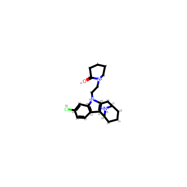 O=C1CCCCN1CCn1c2c(c3ccc(Cl)cc31)C1CCCC(C2)N1